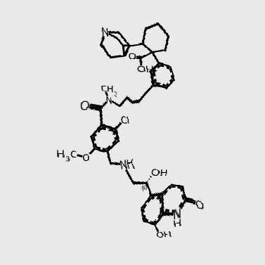 COc1cc(C(=O)N(C)CCCc2cccc(C3(C(=O)O)CCCCC3C3CN4CCC3CC4)c2)c(Cl)cc1CNC[C@H](O)c1ccc(O)c2[nH]c(=O)ccc12